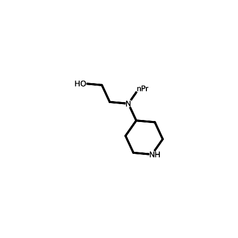 CCCN(CCO)C1CCNCC1